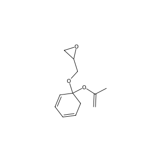 C=C(C)OC1(OCC2CO2)C=CC=CC1